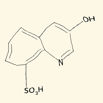 O=S(=O)(O)c1cccc2cc(O)cnc12